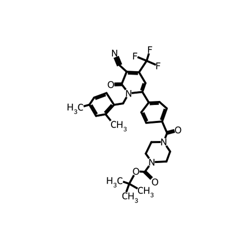 Cc1ccc(Cn2c(-c3ccc(C(=O)N4CCN(C(=O)OC(C)(C)C)CC4)cc3)cc(C(F)(F)F)c(C#N)c2=O)c(C)c1